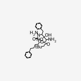 CC(C)(C)CS(=O)(=O)C(N)C(O)(O)C(Cc1ccccc1)N(N)C(=O)OCCCCc1ccccc1